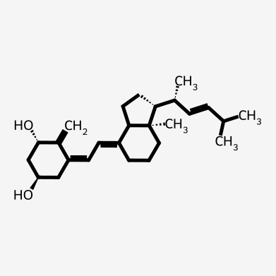 C=C1/C(=C\C=C2/CCC[C@@]3(C)C2CC[C@@H]3[C@H](C)/C=C/C(C)C)C[C@@H](O)C[C@@H]1O